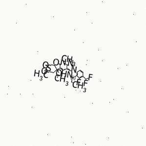 CC[C@@H](Nc1ncnc2c1cc(C1(OC)CCS(=O)(=O)C(C)C1)c(=O)n2C)c1cccc(C(F)F)c1F